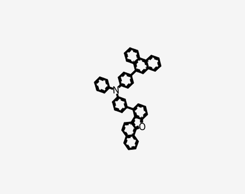 c1ccc(N(c2ccc(-c3cc4ccccc4c4ccccc34)cc2)c2cccc(-c3cccc4oc5c6ccccc6ccc5c34)c2)cc1